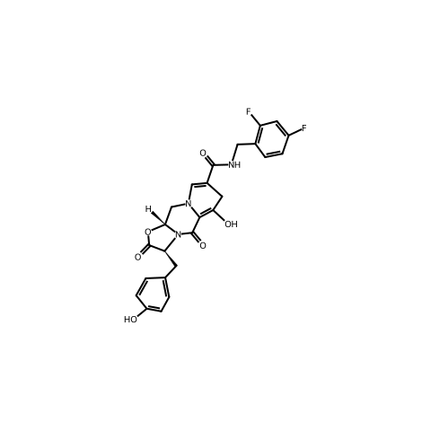 O=C(NCc1ccc(F)cc1F)C1=CN2C[C@H]3OC(=O)[C@H](Cc4ccc(O)cc4)N3C(=O)C2=C(O)C1